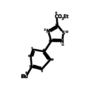 CCOC(=O)c1nc(-c2ccc(C(C)CC)cc2)ns1